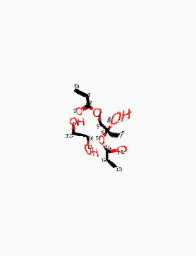 C=CC(=O)OCC(C)(O)OC(=O)C=C.OCCO